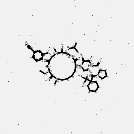 CC[C@H]1NC(=O)[C@H](Cc2cccc(C#N)c2)N(C)C(=O)[C@H](CC(C)C)NC(=O)[C@@H](N(CC)C(=O)[C@H](C)NC(=O)[C@@H]2CCCN2C(=O)C2(C(F)(F)F)CCCCC2)CCCCN(C)C1=O